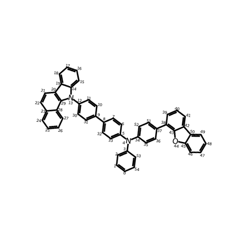 c1ccc(N(c2ccc(-c3ccc(-n4c5ccccc5c5ccc6ccccc6c54)cc3)cc2)c2ccc(-c3cccc4c3oc3ccccc34)cc2)cc1